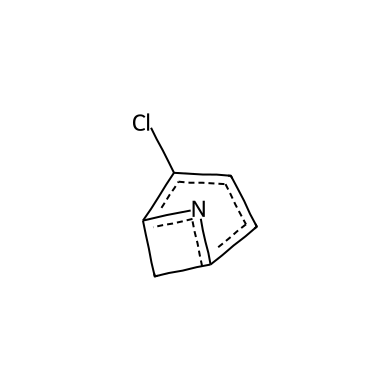 Clc1ccc2nc1C2